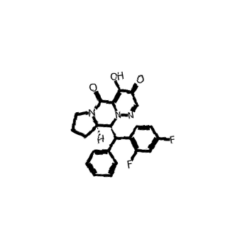 O=C1c2c(O)c(=O)cnn2[C@@H](C(c2ccccc2)c2ccc(F)cc2F)[C@H]2CCCN12